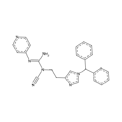 N#CN(CCc1cn(C(c2ccccc2)c2ccccc2)cn1)/C(N)=N/c1ccncc1